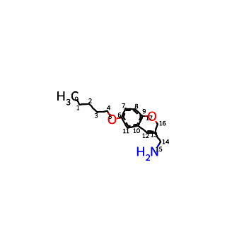 CCCCCOc1ccc2c(c1)C=C(CN)CO2